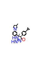 CC1CCN(c2cccc([C@@]3(C)NC(=N)N(C)C(=O)[C@@H]3c3ccc(C4CC4)cc3)c2)C1